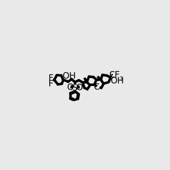 CC12CCC3C(CCC4C[C@](O)(C(F)(F)F)CCC43C)C1CCC2CC(CCC1(O)CCC(F)(F)CC1)S(=O)(=O)c1ccccc1